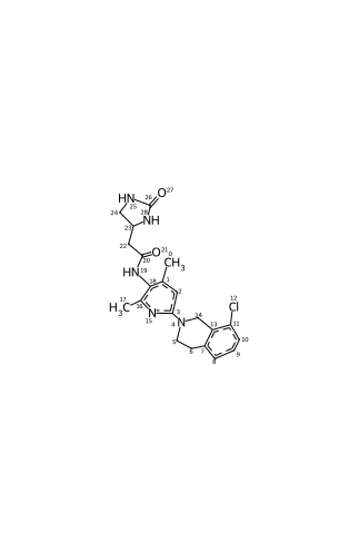 Cc1cc(N2CCc3cccc(Cl)c3C2)nc(C)c1NC(=O)CC1CNC(=O)N1